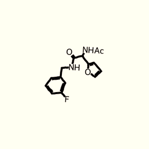 CC(=O)NC(C(=O)NCc1cccc(F)c1)c1ccco1